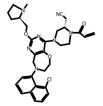 C=CC(=O)N1CCN(c2nc(OC[C@H]3CCCN3C)nc3c2OCCN(c2cccc4cccc(Cl)c24)C3)C[C@@H]1CC#N